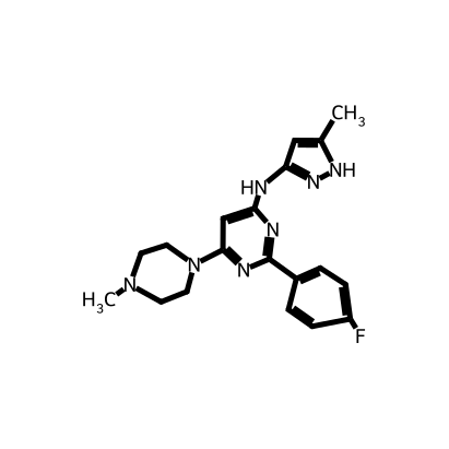 Cc1cc(Nc2cc(N3CCN(C)CC3)nc(-c3ccc(F)cc3)n2)n[nH]1